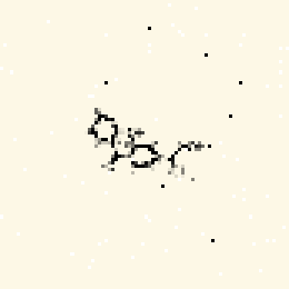 C=C(CO)c1ccc(C(=O)c2ccccc2)c(O)c1